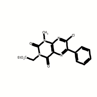 CCOC(=O)Cn1c(=O)c2nc(-c3ccccc3)c(Cl)nc2n(C)c1=O